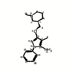 Cc1c(OC[C@@H]2CCCN(C)C2)nn(-c2ccccc2)c1N